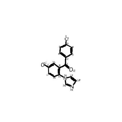 O=C(c1ccc(Cl)cc1)c1cc(Cl)ccc1-n1ccnc1